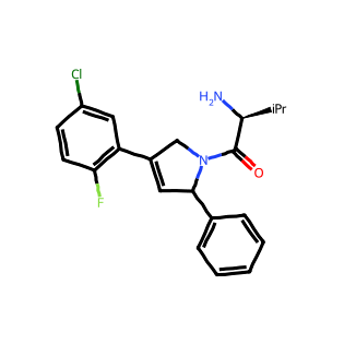 CC(C)[C@H](N)C(=O)N1CC(c2cc(Cl)ccc2F)=CC1c1ccccc1